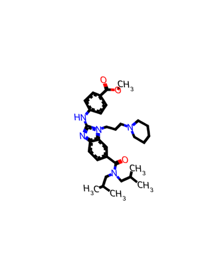 COC(=O)c1ccc(Nc2nc3ccc(C(=O)N(CC(C)C)CC(C)C)cc3n2CCCN2CCCCC2)cc1